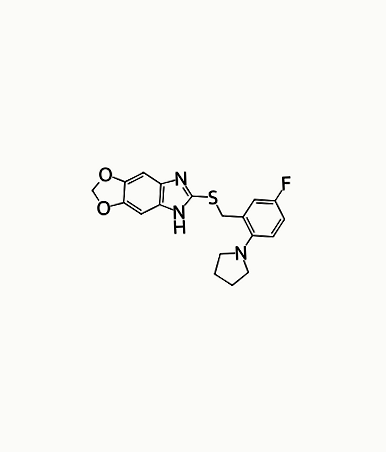 Fc1ccc(N2CCCC2)c(CSc2nc3cc4c(cc3[nH]2)OCO4)c1